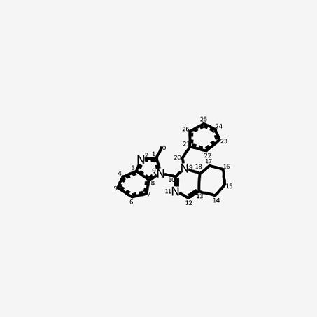 Cc1nc2ccccc2n1C1=NC=C2CCCCC2N1Cc1ccccc1